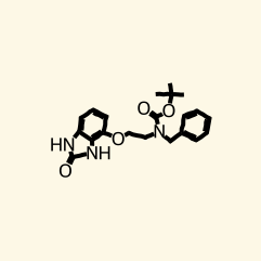 CC(C)(C)OC(=O)N(CCOc1cccc2[nH]c(=O)[nH]c12)Cc1ccccc1